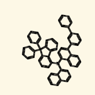 c1ccc(-c2cccc(-c3ccc(N(c4cccc5c4-c4ccccc4C5(c4ccccc4)c4ccccc4)c4cccc5ccccc45)c4ccccc34)c2)cc1